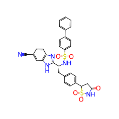 N#Cc1ccc2nc([C@H](Cc3ccc(C4CC(=O)NS4(=O)=O)cc3)NS(=O)(=O)c3ccc(-c4ccccc4)cc3)[nH]c2c1